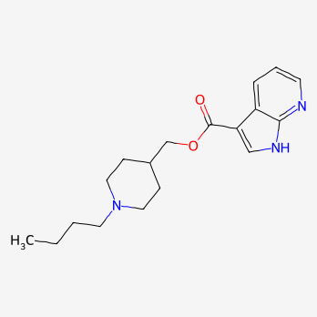 CCCCN1CCC(COC(=O)c2c[nH]c3ncccc23)CC1